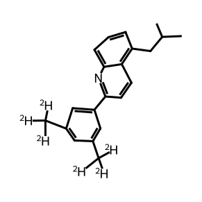 [2H]C([2H])([2H])c1cc(-c2ccc3c(CC(C)C)cccc3n2)cc(C([2H])([2H])[2H])c1